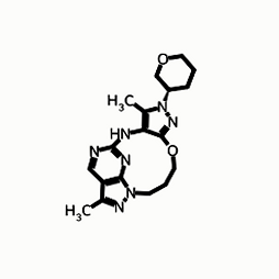 Cc1nn2c3nc(ncc13)Nc1c(nn([C@@H]3CCCOC3)c1C)OCCC2